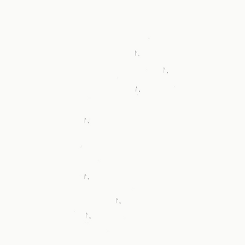 CN(CCCN=c1n(C)ccn1C)CCCN=c1n(C)ccn1C